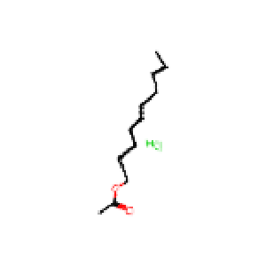 CCCCCCCCCCOC(C)=O.Cl